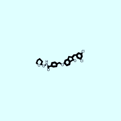 O=C(NOC1CCCCO1)c1ccc(COc2ccc3c(c2)CC(=Cc2cc(Cl)cc(Cl)c2)C3=O)cc1